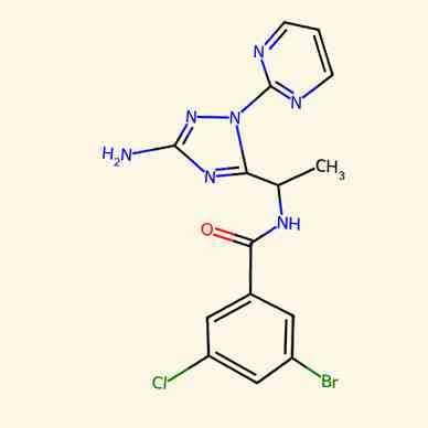 CC(NC(=O)c1cc(Cl)cc(Br)c1)c1nc(N)nn1-c1ncccn1